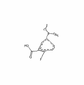 COB(O)c1ccc(F)c(C(=O)O)c1